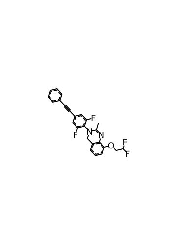 CC1=Nc2c(cccc2OCC(F)F)CN1c1c(F)cc(C#Cc2ccccc2)cc1F